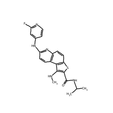 CNc1c(C(=O)NC(C)C)sc2ccc3nc(Nc4ccnc(F)c4)ccc3c12